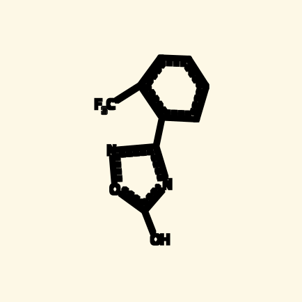 Oc1nc(-c2ccccc2C(F)(F)F)no1